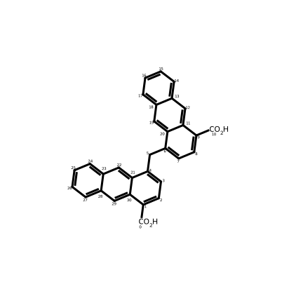 O=C(O)c1ccc(Cc2ccc(C(=O)O)c3cc4ccccc4cc23)c2cc3ccccc3cc12